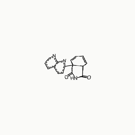 O=C1NC(=O)C2(c3ccc4cccnc4n3)C=CC=CC12